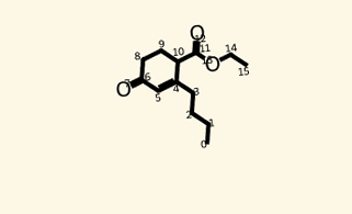 CCCCC1=CC(=O)CCC1C(=O)OCC